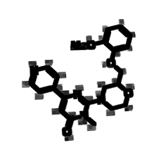 COc1ccccc1OCC1CN(c2nc(-c3ccncc3)cc(=O)n2C)CCO1